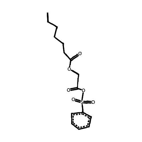 CCCCCCC(=O)OCC(=O)OS(=O)(=O)c1ccccc1